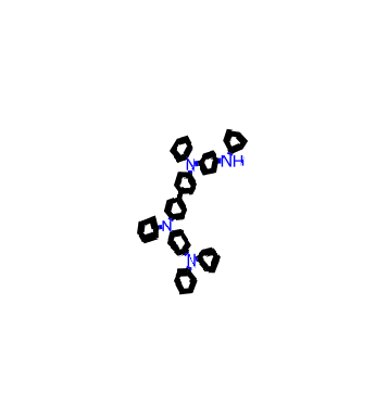 c1ccc(Nc2ccc(N(c3ccccc3)c3ccc(-c4ccc(N(c5ccccc5)c5ccc(N(c6ccccc6)c6ccccc6)cc5)cc4)cc3)cc2)cc1